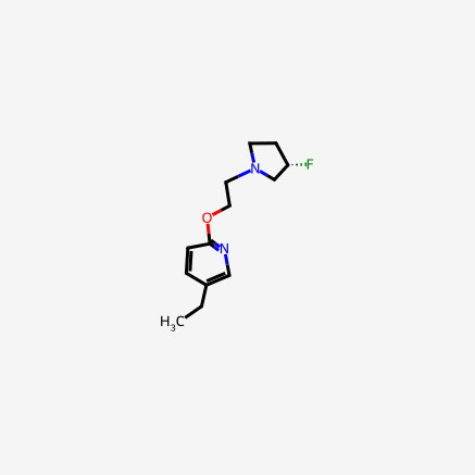 CCc1ccc(OCCN2CC[C@H](F)C2)nc1